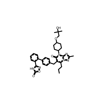 CCCc1c(Cc2ccc(-c3ccccc3-c3noc(=O)[nH]3)cc2)c(=O)n(C2CCC(OCC(C)(C)O)CC2)c2nc(C)nn12